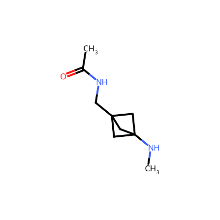 CNC12CC(CNC(C)=O)(C1)C2